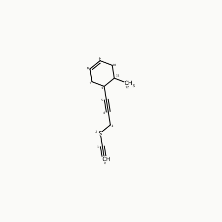 C#CSCC#CC1CC=CCC1C